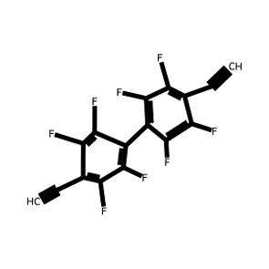 C#Cc1c(F)c(F)c(-c2c(F)c(F)c(C#C)c(F)c2F)c(F)c1F